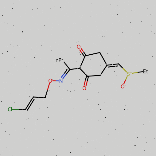 CCCC(=NOCC=CCl)C1C(=O)CC(=C[S+]([O-])CC)CC1=O